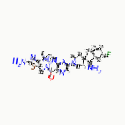 CC1(C)CN(C(=O)c2ncc(N3CCC4(CC3)Cc3ccc(F)cc3[C@H]4N)nc2N)Cc2sc(N)nc21